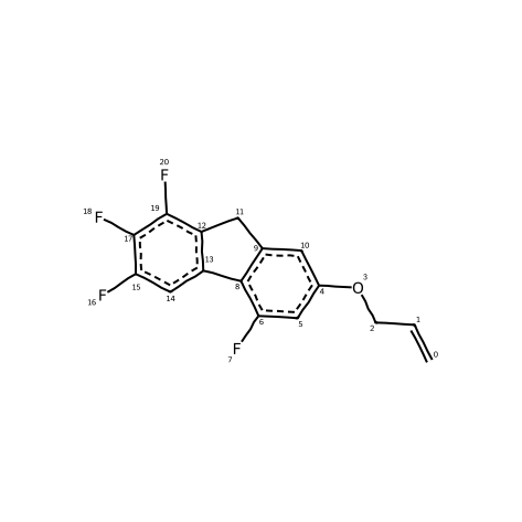 C=CCOc1cc(F)c2c(c1)Cc1c-2cc(F)c(F)c1F